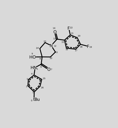 CC(C)(C)c1ccc(NC(=O)C2(O)CCN(C(=O)c3ccc(F)cc3F)CC2)cc1